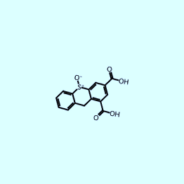 O=C(O)c1cc(C(=O)O)c2c(c1)[S+]([O-])c1ccccc1C2